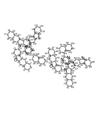 c1ccc2cc3c(cc2c1)oc1ccc(-n2c4ccccc4c4cc5ccccc5cc42)c(-c2nc(-c4ccc5ccc(-c6c7ccccc7cc7c6oc6ccc(-n8c9ccccc9c9cc%10ccccc%10cc98)c(-c8nc(-c9ccc%10c(c9)sc9ccccc9%10)nc(-c9cccc%10ccccc9%10)n8)c67)cc5c4)nc(-c4ccc5c(c4)sc4ccccc45)n2)c13